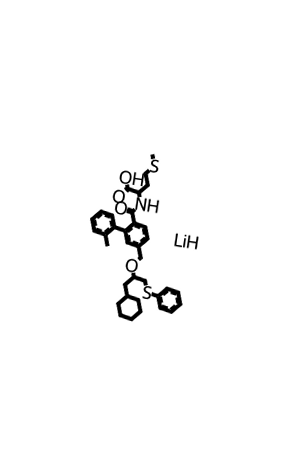 CSCCC(NC(=O)c1ccc(COC(CSc2ccccc2)CC2CCCCC2)cc1-c1ccccc1C)C(=O)O.[LiH]